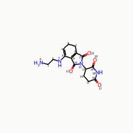 NCCNC1=CCCC2=C1C(=O)N(C1CCC(=O)NC1=O)C2=O